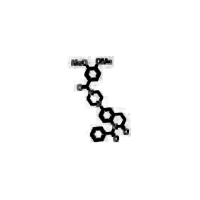 COc1ccc(C(=O)N2CCN(c3ccc4c(c3)CCC(=O)N4C(=O)c3ccccc3)CC2)cc1OC